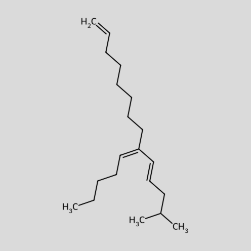 C=CCCCCCCC(C=CCC(C)C)=CCCCC